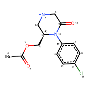 CC(C)(C)C(=O)OC[C@H]1CNCC(=O)N1c1ccc(Cl)cc1